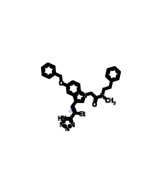 CC/C(=C\c1cn(CC(=O)N(C)CCc2ccccc2)c2ccc(OCc3ccccc3)cc12)c1nnn[nH]1